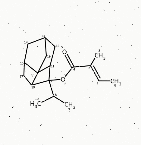 CC=C(C)C(=O)OC1(C(C)C)C2CC3CC(C2)CC1C3